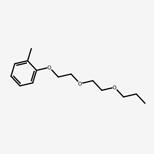 CCCOCCOCCOc1ccccc1C